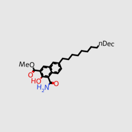 CCCCCCCCCCCCCCCCCCc1ccc2c(C(N)=O)c(O)c(C(=O)OC)cc2c1